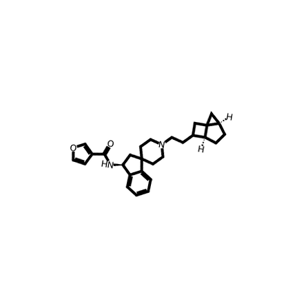 O=C(N[C@H]1CC2(CCN(CCC3CC45C[C@H]4CC[C@@H]35)CC2)c2ccccc21)c1ccoc1